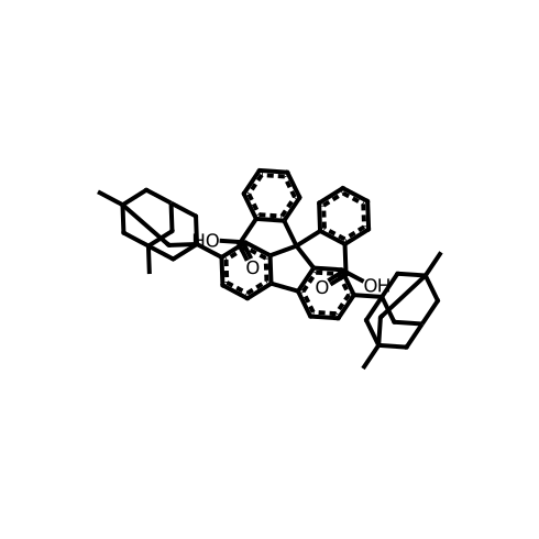 CC12CC3CC(C)(C1)CC(c1ccc4c(c1)C(c1ccccc1C(=O)O)(c1ccccc1C(=O)O)c1cc(C56CC7CC(C)(CC(C)(C7)C5)C6)ccc1-4)(C3)C2